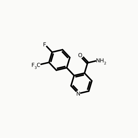 NC(=O)c1ccncc1-c1ccc(F)c(C(F)(F)F)c1